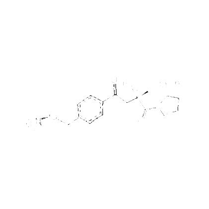 C[C@](S)(CC(=O)c1ccc(CO[N+](=O)[O-])cc1)C(=O)N1CCC[C@H]1C(=O)O